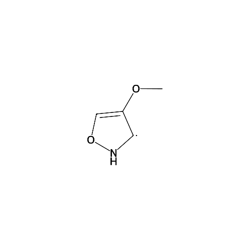 COC1=CON[CH]1